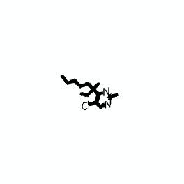 CCCCCC(C)(CC)c1nc(C)ncc1Cl